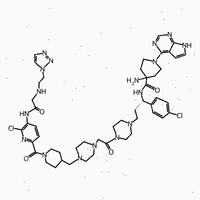 NC1(C(=O)N[C@@H](CCN2CCN(C(=O)CN3CCN(CC4CCN(C(=O)c5ccc(NC(=O)CNCCn6ccnn6)c(Cl)n5)CC4)CC3)CC2)c2ccc(Cl)cc2)CCN(c2ncnc3[nH]ccc23)CC1